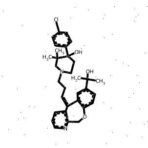 CC(C)(O)c1ccc2c(c1)C(=CCCN1CCC(O)(c3ccc(Cl)cc3)C(C)(C)C1)c1cccnc1CO2